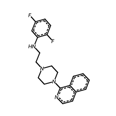 Fc1ccc(F)c(NCCN2CCN(c3nccc4ccccc34)CC2)c1